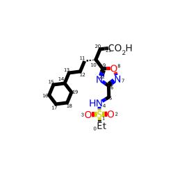 CCS(=O)(=O)NCc1noc([C@H](CCCC2CCCCC2)CC(=O)O)n1